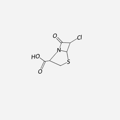 O=C(O)C1CSC2C(Cl)C(=O)N12